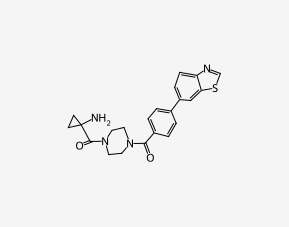 NC1(C(=O)N2CCN(C(=O)c3ccc(-c4ccc5ncsc5c4)cc3)CC2)CC1